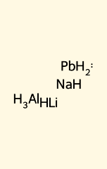 [AlH3].[LiH].[NaH].[PbH2]